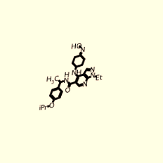 CCn1ncc2c(NC3CCC(=NO)CC3)c(C(=O)NC(C)c3ccc(OC(C)C)cc3)cnc21